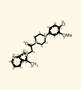 COc1cc(N2CCN(C(=O)Cn3nc4ncccc4c3C)CC2)ccc1Cl